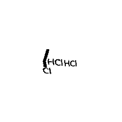 CCl.Cl.Cl